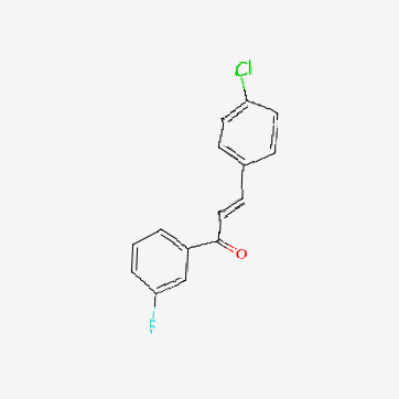 O=C(/C=C/c1ccc(Cl)cc1)c1cccc(F)c1